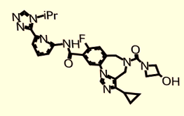 CC(C)n1cnnc1-c1cccc(NC(=O)c2cc3c(cc2F)CN(C(=O)N2CC(O)C2)Cc2c(C4CC4)ncn2-3)n1